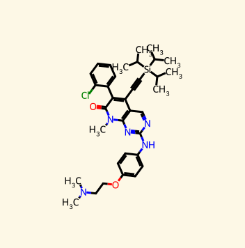 CC(C)[Si](C#Cc1c(-c2ccccc2Cl)c(=O)n(C)c2nc(Nc3ccc(OCCN(C)C)cc3)ncc12)(C(C)C)C(C)C